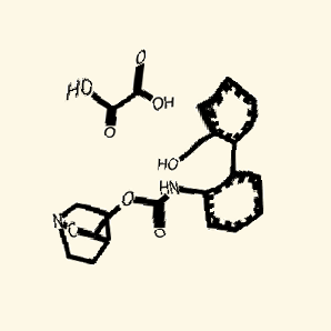 O=C(Nc1ccccc1-c1ccccc1O)OC1CN2CCC1CC2.O=C(O)C(=O)O